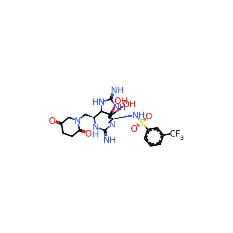 N=C1NC2[C@H](CN3CC(=O)CCC3=O)NC(=N)N3C[C@H](NS(=O)(=O)c4cccc(C(F)(F)F)c4)C(O)(O)C23N1